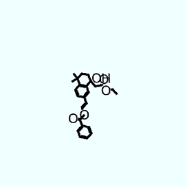 CCOC(=O)CC1(O)CCC(C)(C)c2ccc(/C=C/OC(=O)c3ccccc3)cc21